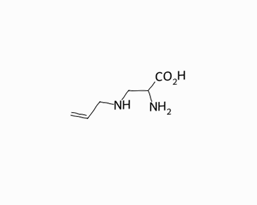 C=CCNCC(N)C(=O)O